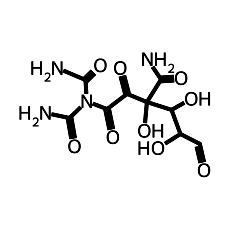 NC(=O)N(C(N)=O)C(=O)C(=O)C(O)(C(N)=O)C(O)C(O)C=O